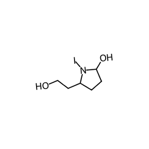 OCCC1CCC(O)N1I